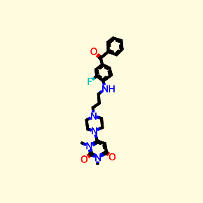 Cn1c(N2CCN(CCCNc3ccc(C(=O)c4ccccc4)cc3F)CC2)cc(=O)n(C)c1=O